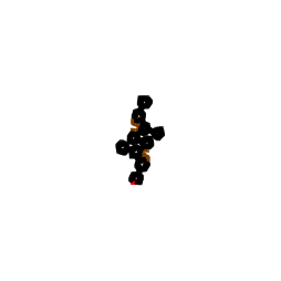 c1ccc(-c2ccc3sc4c(-c5ccccc5-c5ccccc5-c5cc(-c6ccccc6)cc6c5sc5ccc(-c7ccccc7)cc56)cc(-c5ccccc5)cc4c3c2)cc1